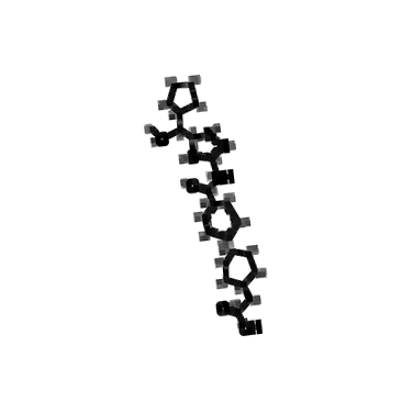 COC(c1nnc(NC(=O)c2ccc([C@H]3CC[C@H](CC(=O)O)CC3)cc2)s1)C1CCCC1